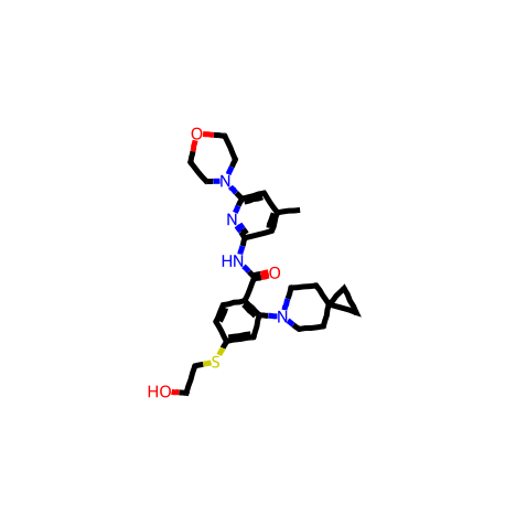 Cc1cc(NC(=O)c2ccc(SCCO)cc2N2CCC3(CC2)CC3)nc(N2CCOCC2)c1